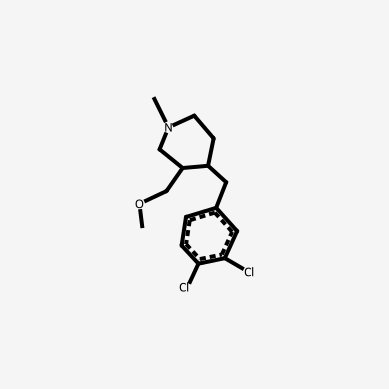 COCC1CN(C)CCC1Cc1ccc(Cl)c(Cl)c1